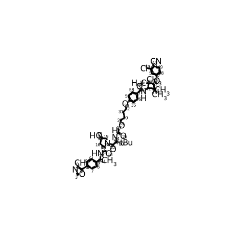 Cc1ncoc1-c1ccc([C@H](C)NC(=O)[C@@H]2C[C@@H](O)CN2C(=O)[C@@H](NC(=O)COCCCCOc2ccc(C(=O)NC3C(C)(C)C(Oc4ccc(C#N)c(Cl)c4)C3(C)C)cc2)C(C)(C)C)cc1